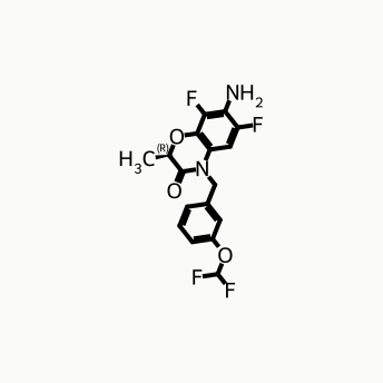 C[C@H]1Oc2c(cc(F)c(N)c2F)N(Cc2cccc(OC(F)F)c2)C1=O